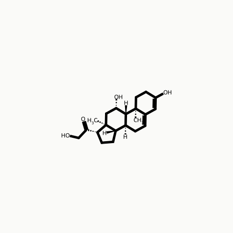 C[C@]12C[C@H](O)[C@H]3[C@@H](CC=C4C=C(O)CC[C@@]43C)[C@@H]1CC[C@@H]2C(=O)CO